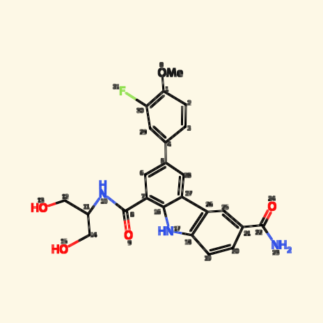 COc1ccc(-c2cc(C(=O)NC(CO)CO)c3[nH]c4ccc(C(N)=O)cc4c3c2)cc1F